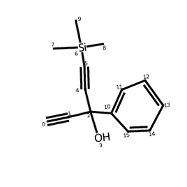 C#CC(O)(C#C[Si](C)(C)C)c1ccccc1